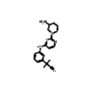 CC(C)(C#N)c1cccc(Nc2ccnc(N3CCCC(N)C3)n2)c1